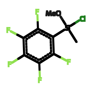 CO[Si](C)(Cl)c1c(F)c(F)c(F)c(F)c1F